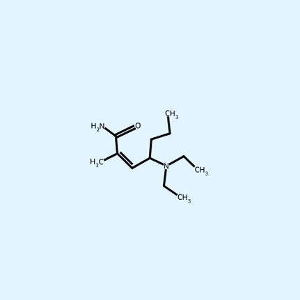 CCCC(C=C(C)C(N)=O)N(CC)CC